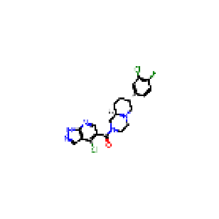 O=C(c1cnc2[nH]ncc2c1Cl)N1CCN2C[C@@H](c3ccc(F)c(Cl)c3)CC[C@@H]2C1